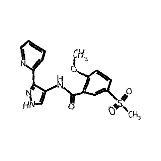 COc1ccc(S(C)(=O)=O)cc1C(=O)Nc1c[nH]nc1-c1ccccn1